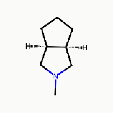 CN1C[C@H]2CCC[C@H]2C1